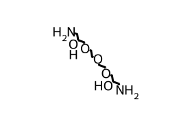 NCC(O)COCCOCCOCC(O)CN